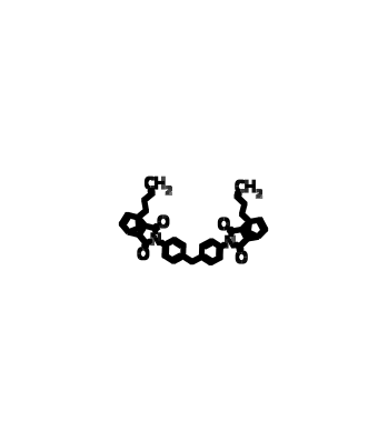 C=CCCC12C=CC(C1)C1C(=O)N(c3ccc(Cc4ccc(N5C(=O)C6C7C=CC(CCC=C)(C7)C6C5=O)cc4)cc3)C(=O)C12